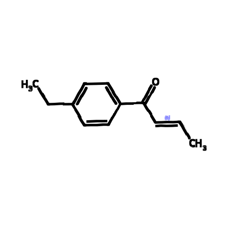 C/C=C/C(=O)c1ccc(CC)cc1